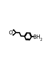 Bc1ccc(CCC2COC2)cc1